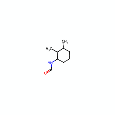 CC1CCCC(NC=O)C1C